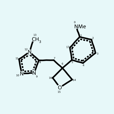 CNc1cccc(C2(Cc3nncn3C)COC2)c1